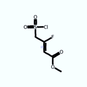 COC(=O)/C=C(\F)CS(=O)(=O)Cl